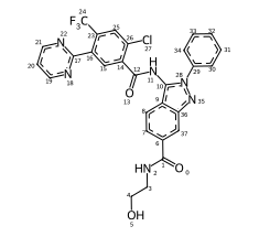 O=C(NCCO)c1ccc2c(NC(=O)c3cc(-c4ncccn4)c(C(F)(F)F)cc3Cl)n(-c3ccccc3)nc2c1